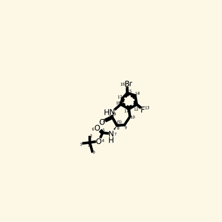 CC(C)(C)OC(=O)N[C@H]1CCc2c(F)cc(Br)cc2NC1=O